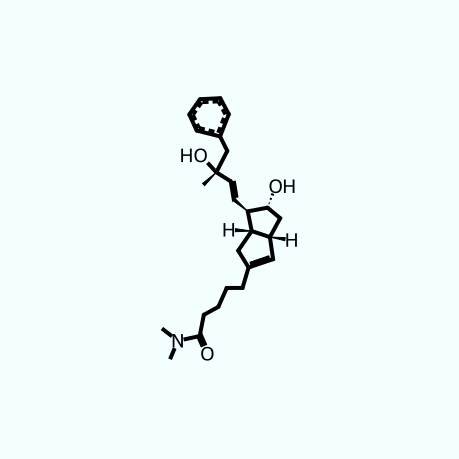 CN(C)C(=O)CCCCC1=C[C@H]2C[C@@H](O)[C@H](/C=C/[C@](C)(O)Cc3ccccc3)[C@H]2C1